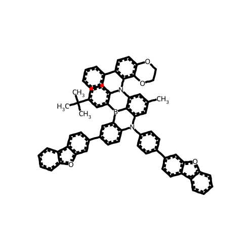 Cc1cc2c3c(c1)N(c1c(-c4ccccc4)ccc4c1OCCO4)c1ccc(C(C)(C)C)cc1B3c1cc(-c3ccc4c(c3)oc3ccccc34)ccc1N2c1ccc(-c2ccc3c(c2)oc2ccccc23)cc1